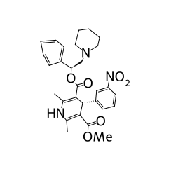 COC(=O)C1=C(C)NC(C)=C(C(=O)O[C@H](CN2CCCCC2)c2ccccc2)[C@@H]1c1cccc([N+](=O)[O-])c1